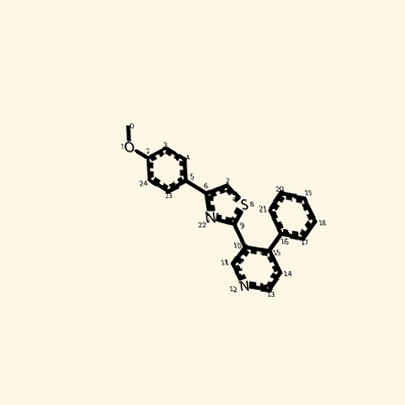 COc1ccc(-c2csc(-c3cnccc3-c3ccccc3)n2)cc1